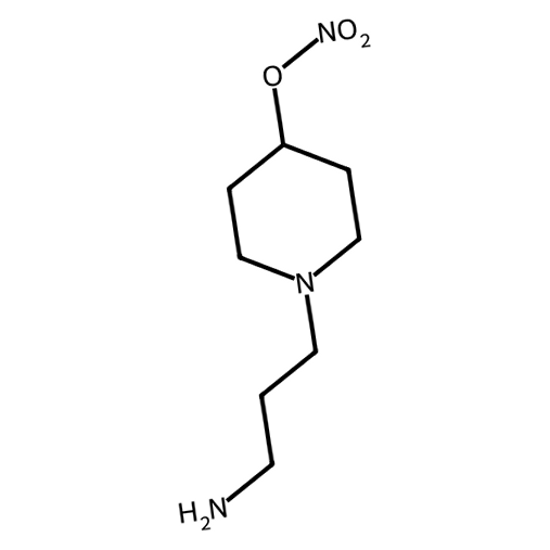 NCCCN1CCC(O[N+](=O)[O-])CC1